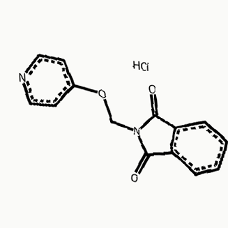 Cl.O=C1c2ccccc2C(=O)N1COc1ccncc1